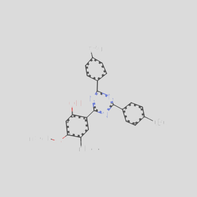 CCCCCCCCOc1cc(O)c(-c2nc(-c3ccc(C(C)(C)C)cc3)nc(-c3ccc(C(C)(C)C)cc3)n2)cc1CCCCCC